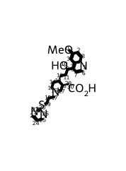 COc1ccc2nccc([C@@H](O)CC[C@@H]3CCN(CCCSc4ncccn4)C[C@@H]3CC(=O)O)c2c1